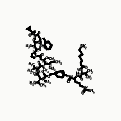 CC[C@H](C)[C@@H]([C@@H](CC(=O)N1CCC[C@H]1[C@H](OC)[C@@H](C)C(=O)N[C@@H](Cc1ccccc1)C(=O)NS(=O)(=O)C1CC1)OC)N(C)C(=O)[C@@H](NC(=O)[C@H](C(C)C)N(C)C(=O)OCc1ccc(NC(=O)C(CCCNC(N)=O)NC(=O)[C@@H](NC(=O)CCCCCN)C(C)C)cc1)C(C)C